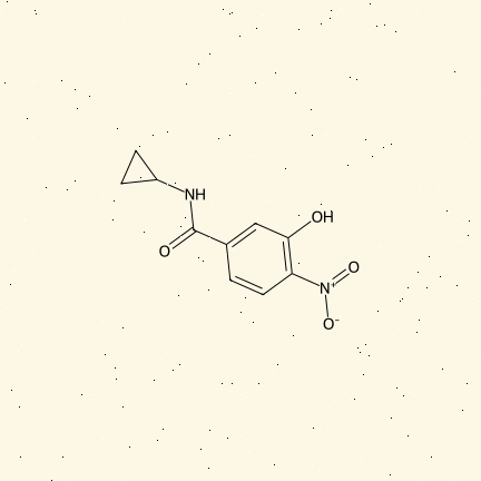 O=C(NC1CC1)c1ccc([N+](=O)[O-])c(O)c1